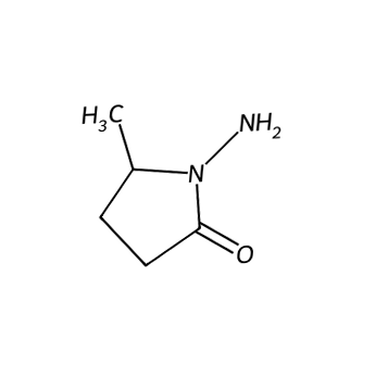 CC1CCC(=O)N1N